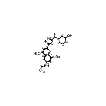 Cc1cc(-c2nnc(NC3CCCC(O)C3)o2)nc2c(C(C)(C)C)cc(NCC(F)(F)F)cc12